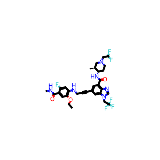 CCOc1cc(C(=O)NC)c(F)cc1NCC#Cc1cc(C(=O)N[C@H]2CCN(CC(F)F)C[C@@H]2C)c2ncn(CC(F)(F)F)c2c1